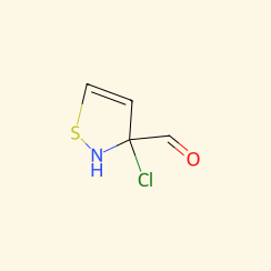 O=CC1(Cl)C=CSN1